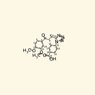 COc1ccc(C(=O)CSc2nnnn2-c2ccc(C(=O)O)cc2)cc1OC